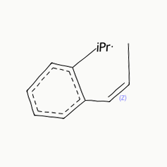 C/C=C\c1ccccc1[C](C)C